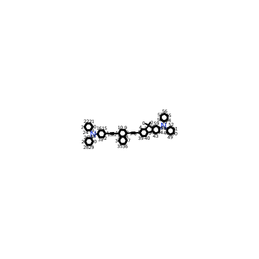 CC1(C)c2cc(C#Cc3ccc(C#Cc4ccc(N(c5ccccc5)c5ccccc5)cc4)c4ccccc34)ccc2-c2ccc(N(c3ccccc3)c3ccccc3)cc21